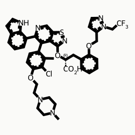 Cc1c(-c2c(-c3cccc4cc[nH]c34)ncc3snc(O[C@H](Cc4ccccc4OCc4ccnn4CC(F)(F)F)C(=O)O)c23)ccc(OCCN2CCN(C)CC2)c1Cl